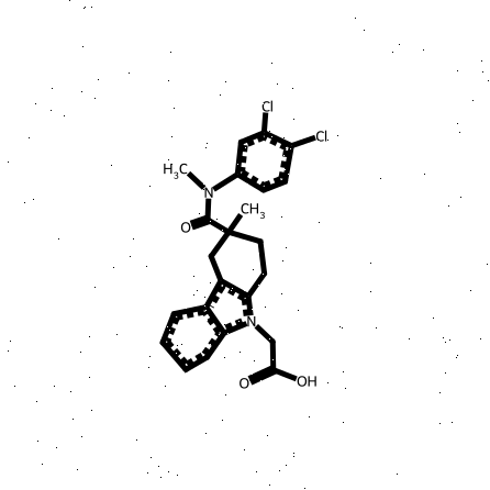 CN(C(=O)C1(C)CCc2c(c3ccccc3n2CC(=O)O)C1)c1ccc(Cl)c(Cl)c1